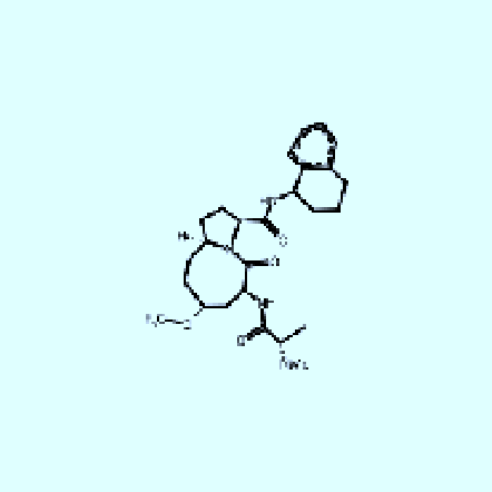 CN[C@@H](C)C(=O)N[C@H]1C[C@H](OC(F)(F)F)CC[C@H]2CC[C@@H](C(=O)N[C@@H]3CCCc4ccccc43)N2C1=O